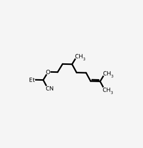 CCC(C#N)OCCC(C)CCC=C(C)C